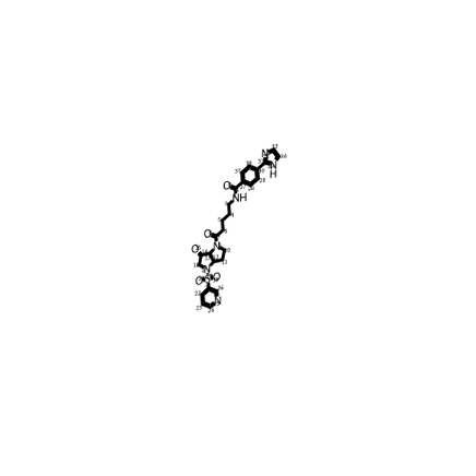 O=C(NCCCCC(=O)N1CCC2C1C(=O)CN2S(=O)(=O)c1cccnc1)c1ccc(-c2ncc[nH]2)cc1